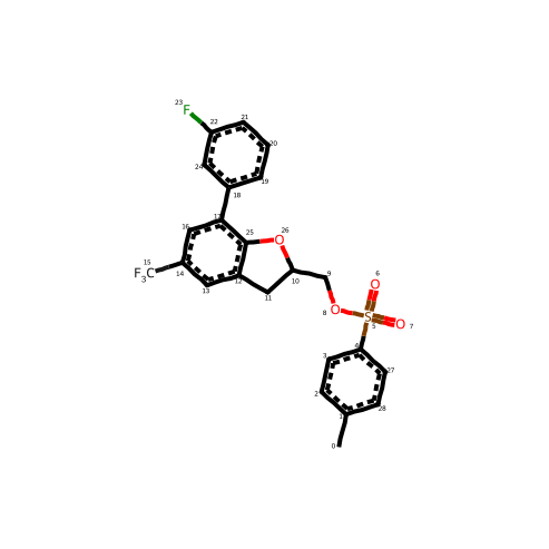 Cc1ccc(S(=O)(=O)OCC2Cc3cc(C(F)(F)F)cc(-c4cccc(F)c4)c3O2)cc1